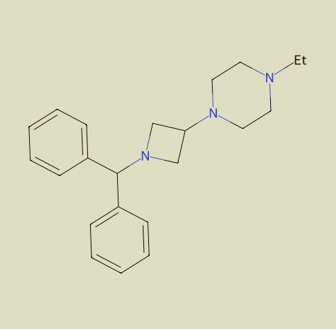 CCN1CCN(C2CN(C(c3ccccc3)c3ccccc3)C2)CC1